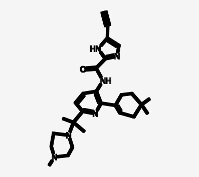 C#Cc1cnc(C(=O)Nc2ccc(C(C)(C)N3CCN(C)CC3)nc2C2=CCC(C)(C)CC2)[nH]1